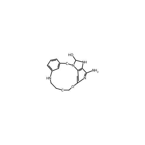 Nc1nc2cc3c1NC(O)N3Cc1cccc(c1)NCCCCO2